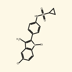 CCn1c(-c2ccc(NS(=O)(=O)C3CC3)cc2)c(N)c2cc(Cl)ccc21